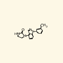 Cc1cccc(-n2ncc3c(N4CCNC4=O)cccc32)c1